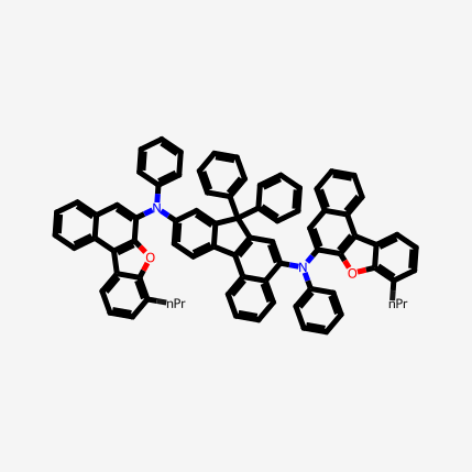 CCCc1cccc2c1oc1c(N(c3ccccc3)c3ccc4c(c3)C(c3ccccc3)(c3ccccc3)c3cc(N(c5ccccc5)c5cc6ccccc6c6c5oc5c(CCC)cccc56)c5ccccc5c3-4)cc3ccccc3c12